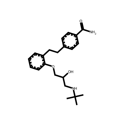 CC(C)(C)NCC(O)COc1ccccc1CCc1ccc(C(N)=O)cc1